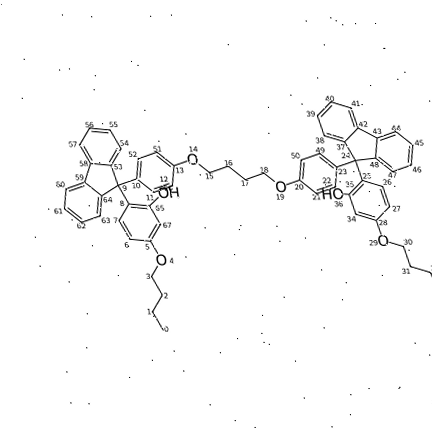 CCCCOc1ccc(C2(c3ccc(OCCCCOc4ccc(C5(c6ccc(OCCCC)cc6O)c6ccccc6-c6ccccc65)cc4)cc3)c3ccccc3-c3ccccc32)c(O)c1